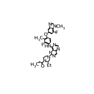 C=CC(=O)N1CCN(c2ncc3ncnc(Nc4ccc(Oc5cc(F)c6c(c5)ncn6C)c(C)c4F)c3n2)C[C@H]1CC